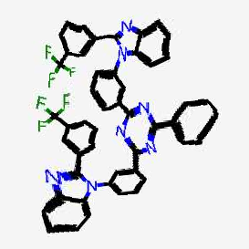 FC(F)(F)c1cccc(-c2nc3ccccc3n2-c2cccc(-c3nc(-c4ccccc4)nc(-c4cccc(-n5c(-c6cccc(C(F)(F)F)c6)nc6ccccc65)c4)n3)c2)c1